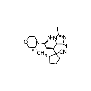 C[C@@H]1COCCN1c1cc(C2(C#N)CCCC2)c2c(I)nc(I)n2n1